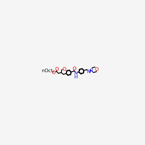 CCCCCCCCOC(=O)CC1COc2cc(C(=O)Nc3ccc(/C=N/N4CCOCC4)cc3)ccc2C1